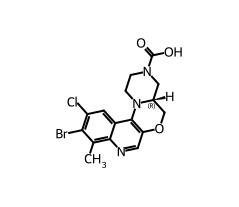 Cc1c(Br)c(Cl)cc2c3c(cnc12)OC[C@H]1CN(C(=O)O)CCN31